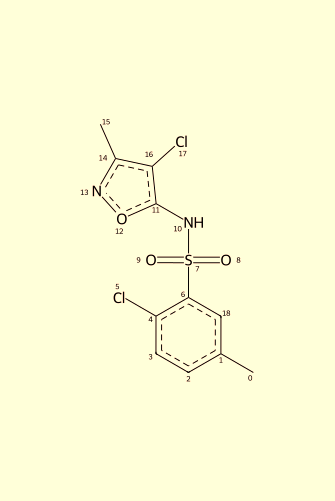 Cc1ccc(Cl)c(S(=O)(=O)Nc2onc(C)c2Cl)c1